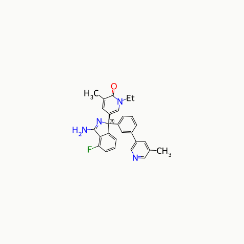 CCn1cc([C@]2(c3cccc(-c4cncc(C)c4)c3)N=C(N)c3c(F)cccc32)cc(C)c1=O